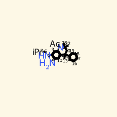 CC(=O)N1c2cc(NCC(C)C)c(N)cc2C(C)(c2ccccc2)CC1(C)C